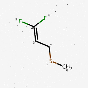 CSCC=C(F)F